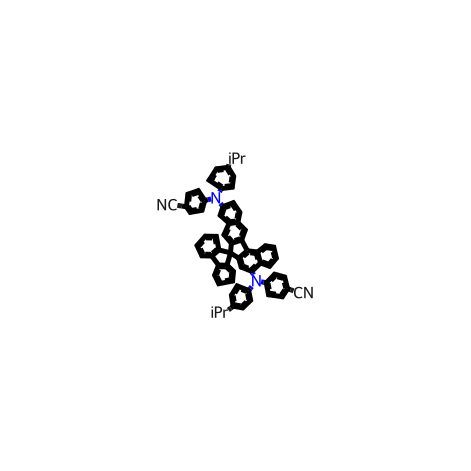 CC(C)c1ccc(N(c2ccc(C#N)cc2)c2ccc3cc4c(cc3c2)C2(c3ccccc3-c3ccccc32)c2cc(N(c3ccc(C#N)cc3)c3ccc(C(C)C)cc3)c3ccccc3c2-4)cc1